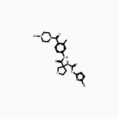 CC(=O)N1CCN(C(=O)c2ccc(NC(=O)C3(NC(=O)Oc4ccc(Br)s4)CCOC3)cc2C)CC1